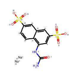 NC(=O)Nc1cc(S(=O)(=O)[O-])cc2cc(S(=O)(=O)[O-])ccc12.[Na+].[Na+]